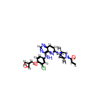 C=CC(=O)N1C[C@@H]2C[C@H]1CN2c1ccc2ncnc(Nc3ccc(OCC4COC4)c(Cl)c3)c2n1